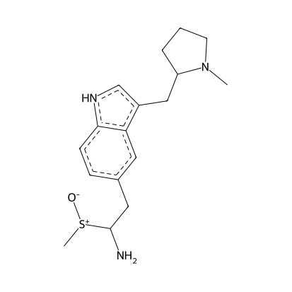 CN1CCCC1Cc1c[nH]c2ccc(CC(N)[S+](C)[O-])cc12